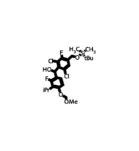 COCOc1ccc(C(O)c2c(Cl)cc(CO[Si](C)(C)C(C)(C)C)c(F)c2Cl)c(F)c1C(C)C